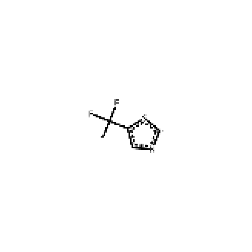 FC(F)(F)c1cn[c]s1